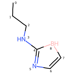 CCCNC1=NC=CB1